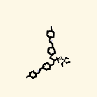 CC[Si](CC)(CC)OC(C)(C)C(Cc1ccc(/C=C/c2ccc(C)cc2)cc1)Cc1ccc(/C=C/c2ccc(C)cc2)cc1